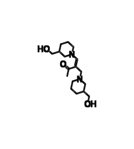 CC(=O)C(=CN1CCCC(CO)C1)CN1CCCC(CO)C1